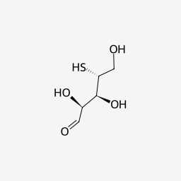 O=C[C@@H](O)[C@H](O)[C@H](S)CO